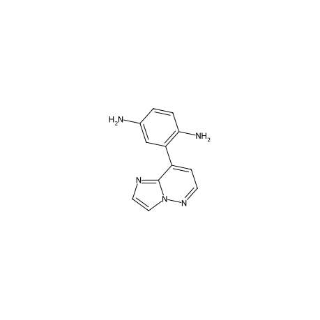 Nc1ccc(N)c(-c2ccnn3ccnc23)c1